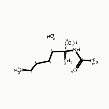 C[C@@](CCCCN)(NC(=O)C(F)(F)F)C(=O)O.Cl